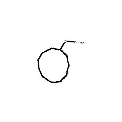 CCCCCCOC1CCCCCCCCCC1